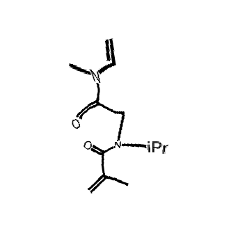 C=CN(C)C(=O)CN(C(=O)C(=C)C)C(C)C